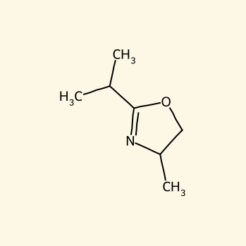 CC1COC(C(C)C)=N1